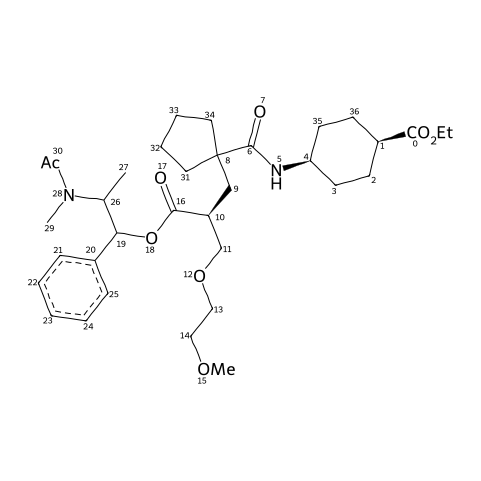 CCOC(=O)[C@H]1CC[C@@H](NC(=O)C2(C[C@@H](COCCOC)C(=O)OC(c3ccccc3)C(C)N(C)C(C)=O)CCCC2)CC1